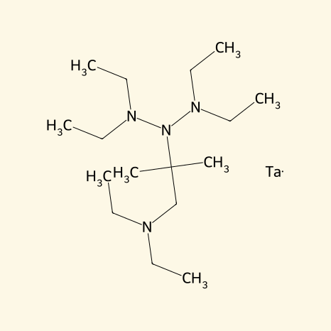 CCN(CC)CC(C)(C)N(N(CC)CC)N(CC)CC.[Ta]